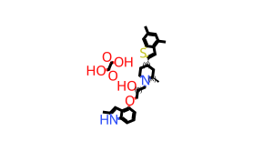 Cc1cc(C)c2cc([C@H]3CCN(C[C@H](O)COc4cccc5[nH]c(C)cc45)[C@H](C)C3)sc2c1.O=C(O)C(=O)O